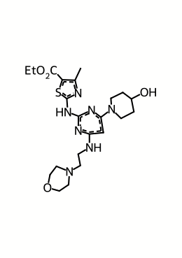 CCOC(=O)c1sc(Nc2nc(NCCN3CCOCC3)cc(N3CCC(O)CC3)n2)nc1C